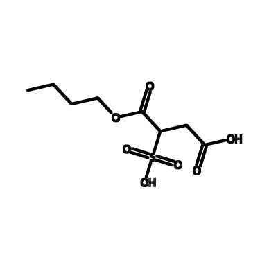 CCCCOC(=O)C(CC(=O)O)S(=O)(=O)O